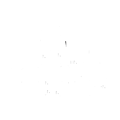 O=C1NCc2cc(F)c(NC(=O)[C@H](Cc3ccccc3)n3cnc(-c4cc(Cl)ccc4-n4cc(Cl)nn4)cc3=O)cc21